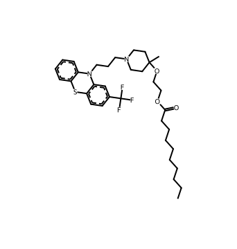 CCCCCCCCCC(=O)OCCOC1(C)CCN(CCCN2c3ccccc3Sc3ccc(C(F)(F)F)cc32)CC1